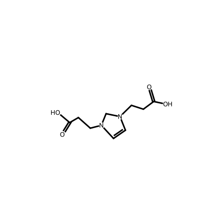 O=C(O)CCN1C=CN(CCC(=O)O)C1